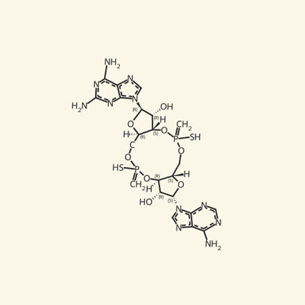 C=P1(S)OC[C@H]2O[C@@H](n3cnc4c(N)nc(N)nc43)[C@H](O)[C@@H]2OP(=C)(S)OC[C@@H]2O[C@H](n3cnc4c(N)ncnc43)[C@H](O)[C@H]2O1